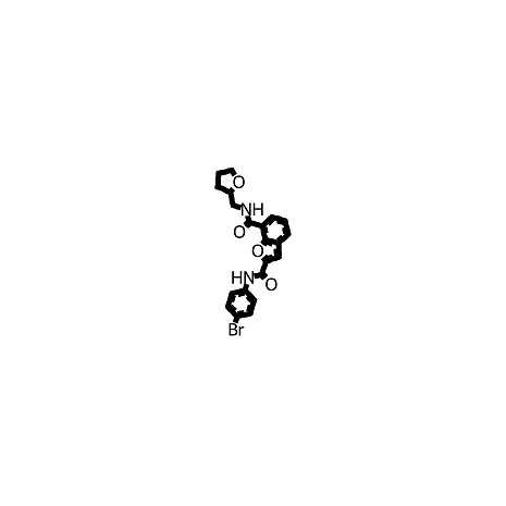 O=C(Nc1ccc(Br)cc1)c1cc2cccc(C(=O)NCC3CCCO3)c2o1